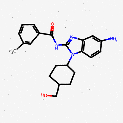 Nc1ccc2c(c1)nc(NC(=O)c1cccc(C(F)(F)F)c1)n2C1CCC(CO)CC1